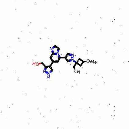 COC1CC(CC#N)(n2cc(-c3cc(-c4c[nH]nc4CO)cc4nccn34)cn2)C1